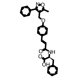 Cc1onc(-c2ccccc2)c1COc1ccc(/C=C/C(=O)N[C@@H](Cc2ccccc2)C(=O)O)cc1